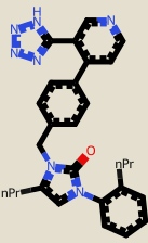 CCCc1ccccc1-n1cc(CCC)n(Cc2ccc(-c3ccncc3-c3nnn[nH]3)cc2)c1=O